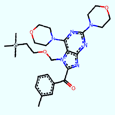 Cc1cccc(C(=O)c2nc3nc(N4CCOCC4)nc(N4CCOCC4)c3n2COCC[Si](C)(C)C)c1